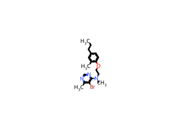 CCCc1ccc(OCCN(C)c2ncnc(C)c2Br)c(C)c1